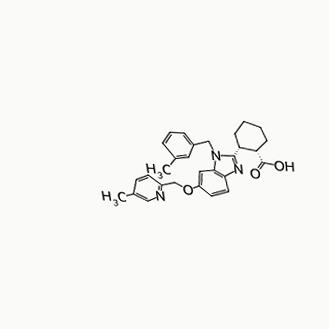 Cc1ccc(COc2ccc3nc([C@@H]4CCCC[C@@H]4C(=O)O)n(Cc4cccc(C)c4)c3c2)nc1